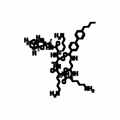 CCCCc1ccc(-c2ccc(C(=O)NCCC(=O)N[C@@H](CCCCN)C(=O)N[C@@H](CCCCN)C(=O)N[C@@H](C)C(=O)N[C@@H](CCCCN)C(=O)N[C@@H](C)B3O[C@@H]4C[C@@H]5C[C@@H](C5(C)C)[C@]4(C)O3)cc2)cc1